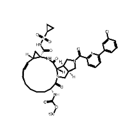 CC(C)(C)OC(=O)N[C@@H]1CCCCC/C=C\[C@@H]2C[C@@]2(C(=O)NS(=O)(=O)C2CC2)NC(=O)[C@@H]2[C@H]3CN(C(=O)c4cccc(-c5cccc(Cl)c5)n4)C[C@H]3CN2C1=O